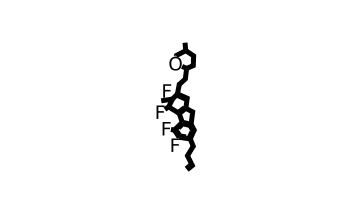 C=CCCc1cc2c(c(F)c1F)C1=C(C=C(CCC3CCC(C)CO3)C(C)(F)C1F)C2